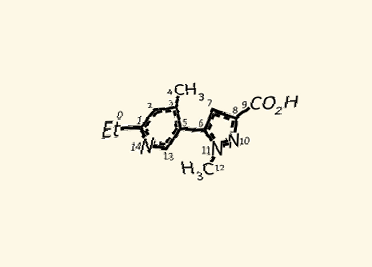 CCc1cc(C)c(-c2cc(C(=O)O)nn2C)cn1